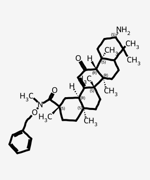 CN(OCc1ccccc1)C(=O)[C@@]1(C)CC[C@]2(C)CC[C@]3(C)C(=CC(=O)[C@@H]4[C@@]5(C)CC[C@H](N)C(C)(C)C5CC[C@]43C)[C@@H]2C1